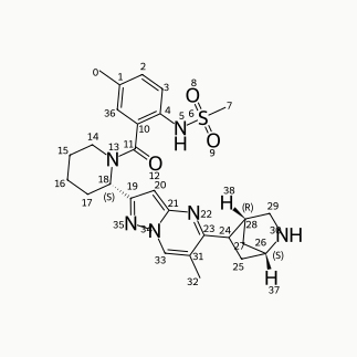 Cc1ccc(NS(C)(=O)=O)c(C(=O)N2CCCC[C@H]2c2cc3nc(C4C[C@@H]5C[C@H]4CN5)c(C)cn3n2)c1